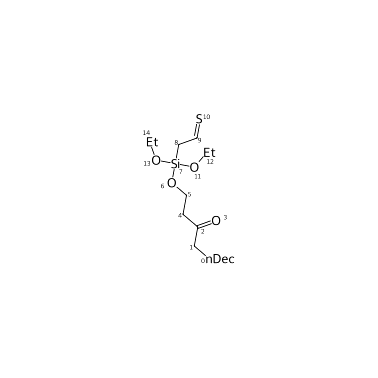 CCCCCCCCCCCC(=O)CCO[Si](CC=S)(OCC)OCC